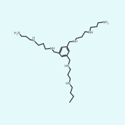 CCCCNCCCNCc1cc(CNCCCNCCCN)cc(CNCCCNCCCN)c1